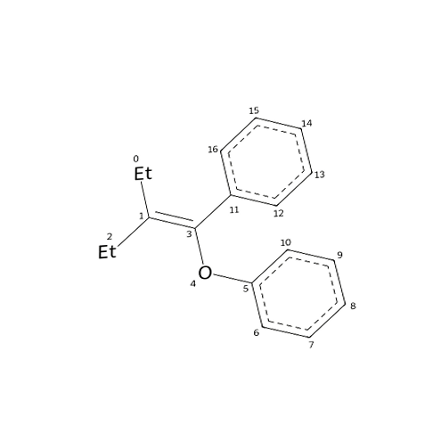 CCC(CC)=C(Oc1ccccc1)c1ccccc1